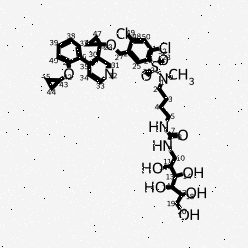 CN(CCCCNC(=O)NCC(O)C(O)C(O)C(O)CO)S(=O)(=O)c1cc(COC2(c3cnccc3-c3ccccc3OC3CC3)CC2)c(Cl)cc1Cl